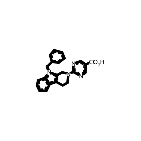 O=C(O)c1cnc(N2CCc3c(n(Cc4ccccc4)c4ccccc34)C2)nc1